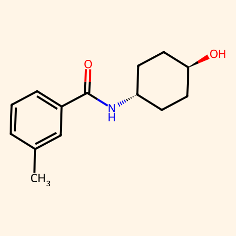 Cc1cccc(C(=O)N[C@H]2CC[C@H](O)CC2)c1